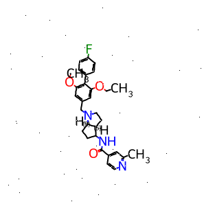 CCOc1cc(CN2CC[C@H]3C(NC(=O)c4ccnc(C)c4)CC[C@H]32)cc(OC)c1-c1ccc(F)cc1